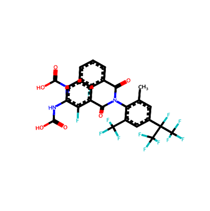 Cc1cc(C(F)(C(F)(F)F)C(F)(F)F)cc(C(F)(F)F)c1N(C(=O)c1cccc(NC(=O)O)c1F)C(=O)c1cccc(NC(=O)O)c1F